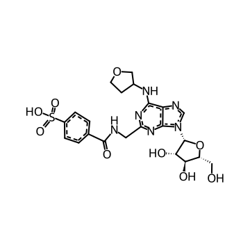 O=C(NCc1nc(NC2CCOC2)c2ncn([C@@H]3O[C@H](CO)[C@@H](O)[C@@H]3O)c2n1)c1ccc(S(=O)(=O)O)cc1